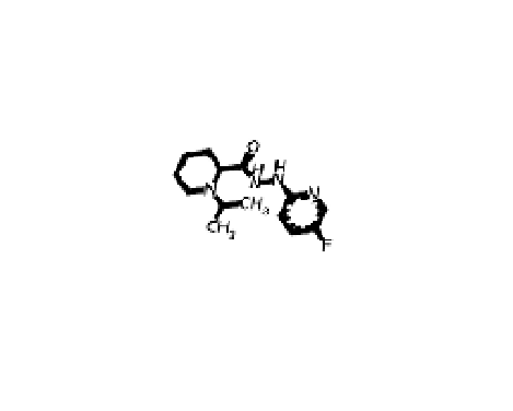 CC(C)N1CCCCC1C(=O)NNc1ccc(F)cn1